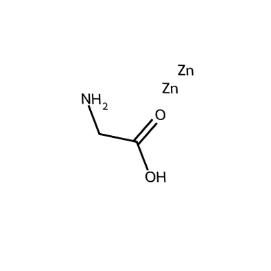 NCC(=O)O.[Zn].[Zn]